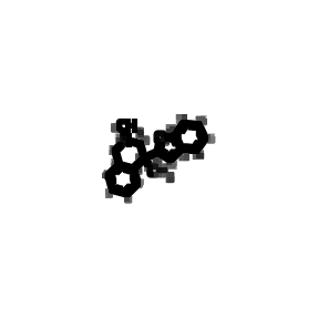 CN1Cc2ccccc2C(C)(c2cc3ccccc3o2)C1